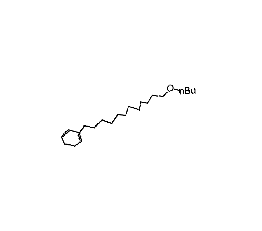 CCCCOCCCCCCCCCCCCC1=CCCC=C1